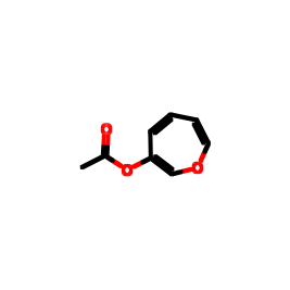 CC(=O)OC1=COC=CC=C1